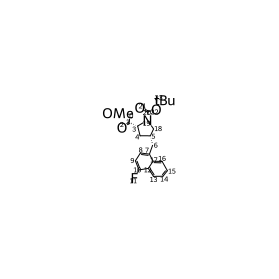 COC(=O)[C@H]1C[C@@H](Cc2ccc(F)c3ccccc23)CN1C(=O)OC(C)(C)C